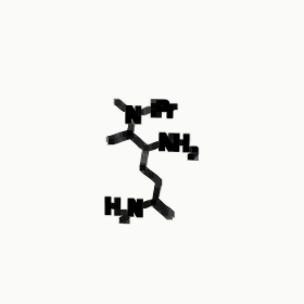 C=C(N)CCC(N)C(=C)N(C)C(C)C